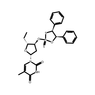 CC[C@H]1O[C@@H](n2cc(C)c(=O)[nH]c2=O)C[C@@H]1OP1(=S)O[C@H](c2ccccc2)[C@H](c2ccccc2)S1